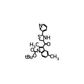 Cc1ccc2c(c1)c(C(=O)C1CSC(c3cccnc3)N1)c(C)n2C(=O)OC(C)(C)C